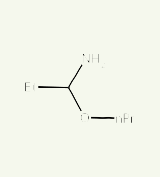 CCCOC(N)CC